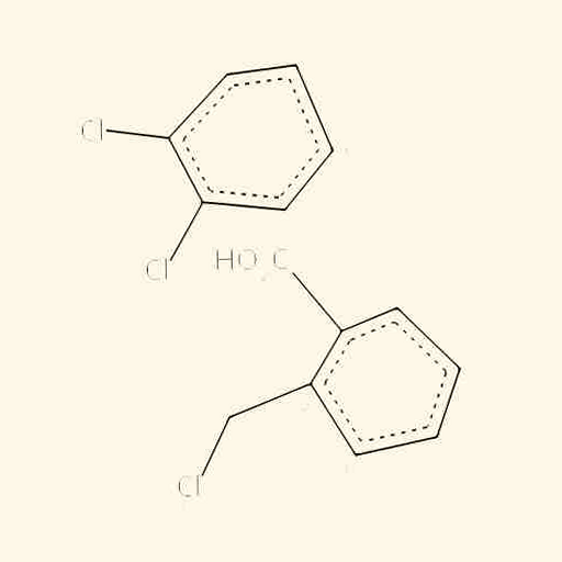 Clc1ccccc1Cl.O=C(O)c1ccccc1CCl